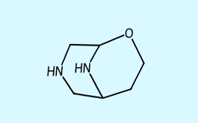 C1CC2CNCC(N2)O1